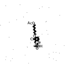 CC(=O)OCCCCCCCOc1ccc2c(c1Cl)CN1C(=N2)NC(=O)C1C